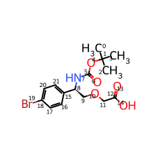 CC(C)(C)OC(=O)N[C@@H](COCC(=O)O)c1ccc(Br)cc1